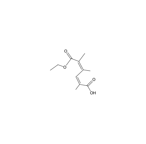 CCOC(=O)C(C)=C(C)C=C(C)C(=O)O